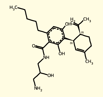 C=C(C)[C@H]1CCC(C)=C[C@H]1c1c(O)cc(CCCCC)c(C(=O)NCC(O)CN)c1O